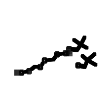 CC(C)(C)C=O.CC(C)(C)C=O.OOCOOCOO